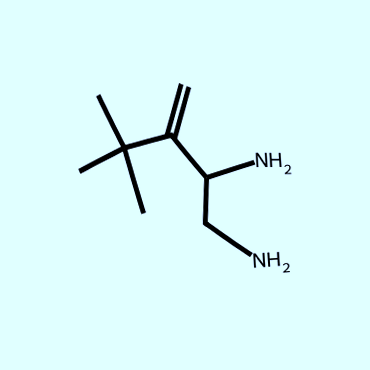 C=C(C(N)CN)C(C)(C)C